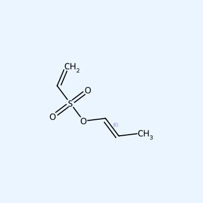 C=CS(=O)(=O)O/C=C/C